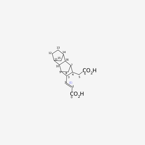 O=C(O)/C=C/C1C(CC(=O)O)C2CC1C1C3CCC(C3)C21